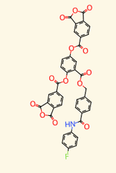 O=C(Nc1ccc(F)cc1)c1ccc(COC(=O)c2cc(OC(=O)c3ccc4c(c3)C(=O)OC4=O)ccc2OC(=O)c2ccc3c(c2)C(=O)OC3=O)cc1